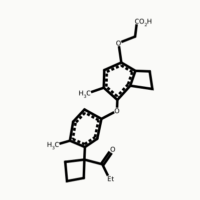 CCC(=O)C1(c2cc(Oc3c(C)cc(OCC(=O)O)c4c3CC4)ccc2C)CCC1